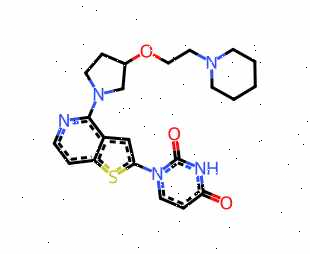 O=c1ccn(-c2cc3c(N4CCC(OCCN5CCCCC5)C4)nccc3s2)c(=O)[nH]1